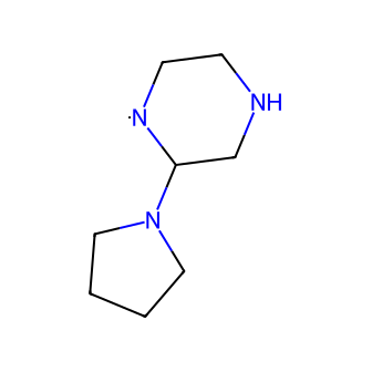 C1CCN(C2CNCC[N]2)C1